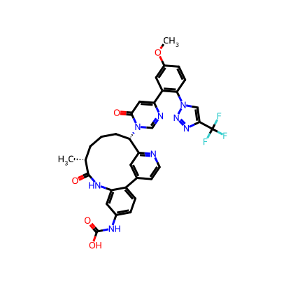 COc1ccc(-n2cc(C(F)(F)F)nn2)c(-c2cc(=O)n([C@H]3CCC[C@@H](C)C(=O)Nc4cc(NC(=O)O)ccc4-c4ccnc3c4)cn2)c1